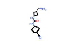 N#Cc1ccc(NC(=O)N[C@H]2C[C@@H](CN)C2)cc1